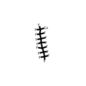 FC(F)(F)C(F)(F)C(F)(F)C(F)(F)C(F)(F)C(F)(F)[C](F)(F)[Cu]